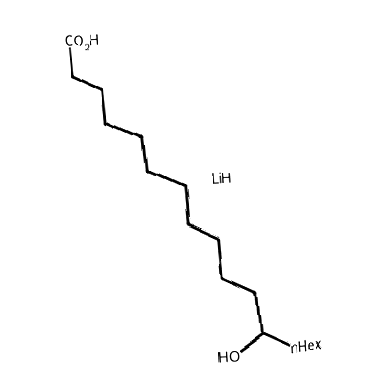 CCCCCCC(O)CCCCCCCCCCC(=O)O.[LiH]